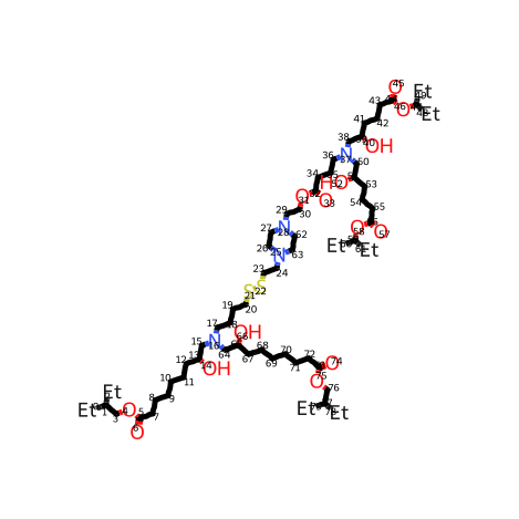 CCC(CC)COC(=O)CCCCCCC(O)CN(CCCCSSCCN1CCN(CCOC(=O)CCCN(CC(O)CCCC(=O)OC(CC)CC)CC(O)CCCC(=O)OC(CC)CC)CC1)CC(O)CCCCCCC(=O)OCC(CC)CC